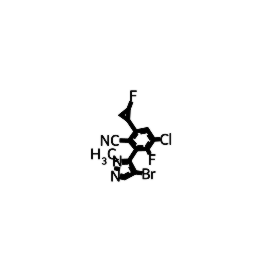 Cn1ncc(Br)c1-c1c(F)c(Cl)cc(C2CC2F)c1C#N